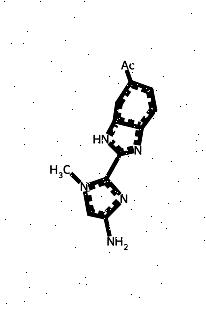 CC(=O)c1ccc2nc(-c3nc(N)cn3C)[nH]c2c1